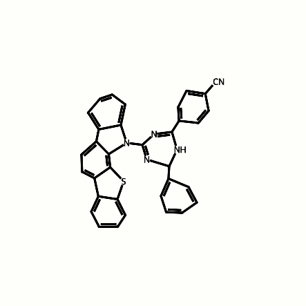 N#Cc1ccc(C2=NC(n3c4ccccc4c4ccc5c6ccccc6sc5c43)=NC(c3ccccc3)N2)cc1